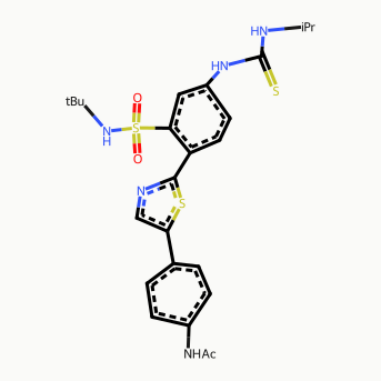 CC(=O)Nc1ccc(-c2cnc(-c3ccc(NC(=S)NC(C)C)cc3S(=O)(=O)NC(C)(C)C)s2)cc1